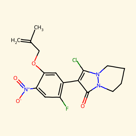 C=C(C)COc1cc(-c2c(Cl)n3n(c2=O)CCCC3)c(F)cc1[N+](=O)[O-]